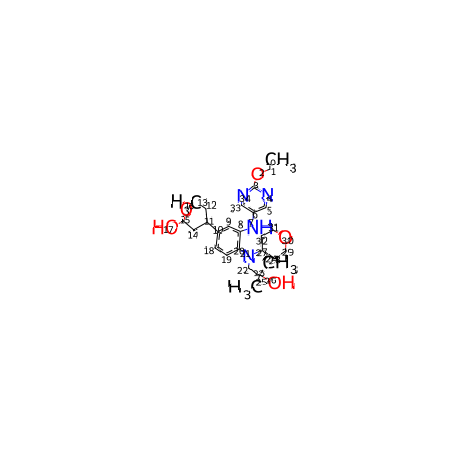 CCOc1ncc(Nc2cc(C(CC)CC(=O)O)ccc2N(CC(C)(C)O)C2CCOCC2)cn1